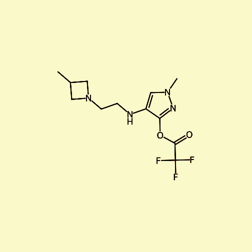 CC1CN(CCNc2cn(C)nc2OC(=O)C(F)(F)F)C1